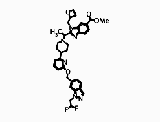 COC(=O)c1ccc2nc(C(C)N3CCC(c4cccc(OCc5ccc6cnn(CC(F)F)c6c5)n4)CC3)n(CC3CCO3)c2c1